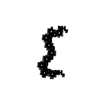 Nc1cccc(Oc2ccccc2Oc2ccccc2Oc2cccc(Oc3ccc(Oc4cccc(Oc5ccccc5Oc5ccccc5Oc5cccc(N)c5)c4)cc3)c2)c1